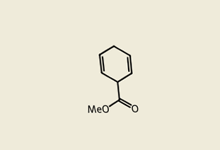 COC(=O)C1C=CCC=C1